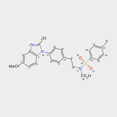 CCc1nc2cc(OC)ccc2n1-c1ccc(CCN(C(=O)O)S(=O)(=O)c2ccc(C)cc2)cc1